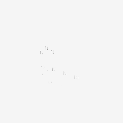 Cc1nnn(C)c1CN1C(=O)[C@@H](C)Oc2ccc(Br)nc21